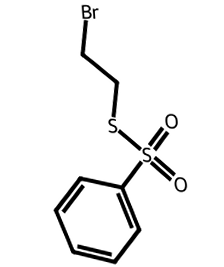 O=S(=O)(SCCBr)c1ccccc1